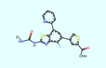 CCNC(=O)Nc1nc2c(F)c(-c3csc(C(=O)OC)c3)cc(-c3ccccn3)c2s1